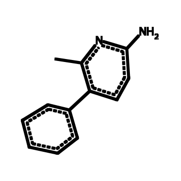 Cc1nc(N)ccc1-c1ccccc1